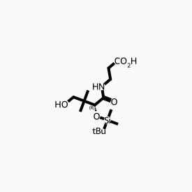 CC(C)(CO)[C@@H](O[Si](C)(C)C(C)(C)C)C(=O)NCCC(=O)O